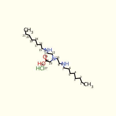 CCCCCCCCNCCN(CCNCCCCCCCC)CC(=O)O.Cl